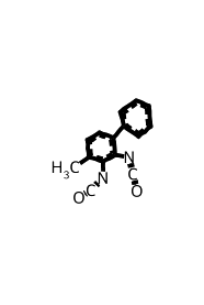 Cc1ccc(-c2ccccc2)c(N=C=O)c1N=C=O